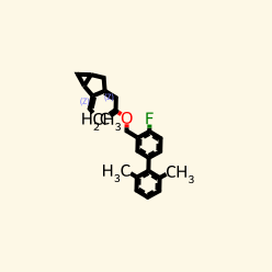 C=C(/C=C1/CC2CC2/C1=C/C)OCc1cc(-c2c(C)cccc2C)ccc1F